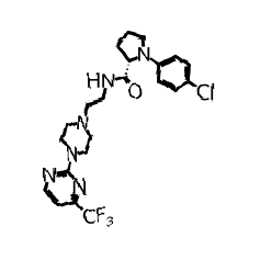 O=C(NCCN1CCN(c2nccc(C(F)(F)F)n2)CC1)[C@@H]1CCCN1c1ccc(Cl)cc1